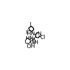 O=C(NC1CCCC(O)C1O)c1cc(Cl)ncc1Nc1ccc(I)cc1F